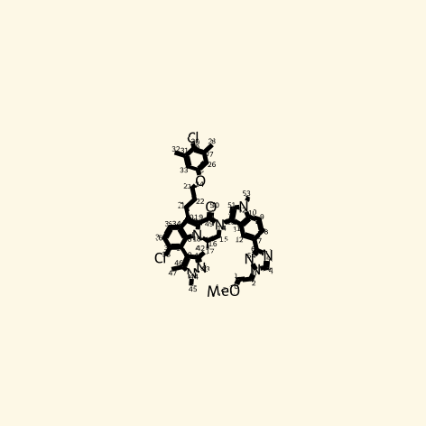 COCCn1cnc(-c2ccc3c(c2)c(N2C[C@@H](C)n4c(c(CCCOc5cc(C)c(Cl)c(C)c5)c5ccc(Cl)c(-c6c(C)nn(C)c6C)c54)C2=O)cn3C)n1